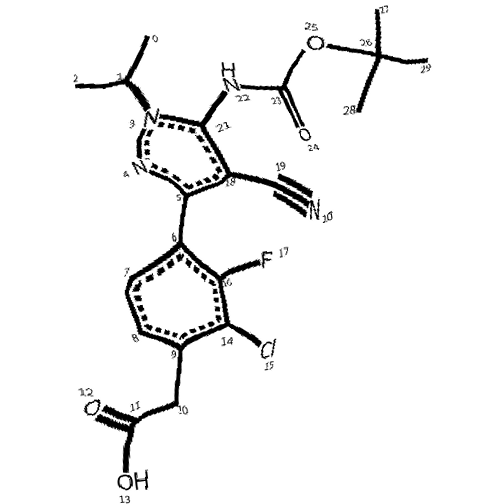 CC(C)n1nc(-c2ccc(CC(=O)O)c(Cl)c2F)c(C#N)c1NC(=O)OC(C)(C)C